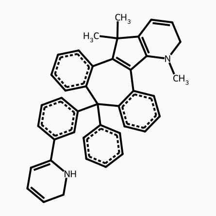 CN1CC=CC2=C1C1=C(c3ccccc3C(c3ccccc3)(c3cccc(C4=CC=CCN4)c3)c3ccccc31)C2(C)C